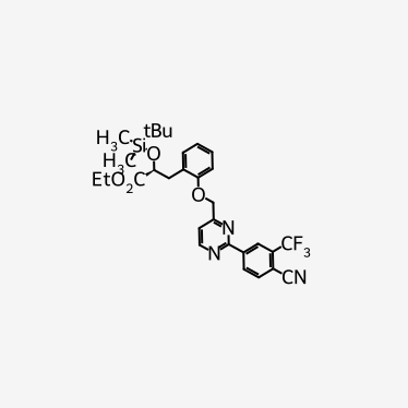 CCOC(=O)[C@H](Cc1ccccc1OCc1ccnc(-c2ccc(C#N)c(C(F)(F)F)c2)n1)O[Si](C)(C)C(C)(C)C